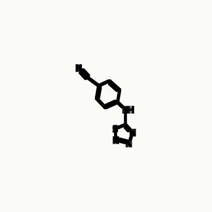 N#Cc1ccc(Nc2nnns2)cc1